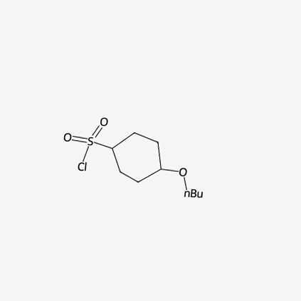 CCCCOC1CCC(S(=O)(=O)Cl)CC1